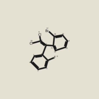 Fc1ccccc1C(=C(Cl)Cl)c1ccccc1Br